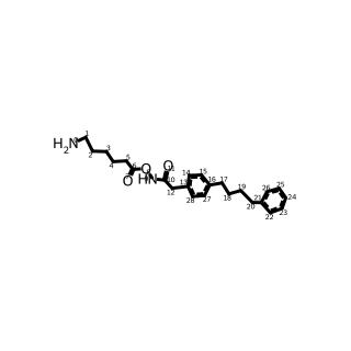 NCCCCCC(=O)ONC(=O)Cc1ccc(CCCCc2ccccc2)cc1